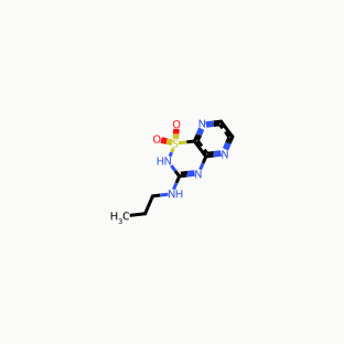 CCCNC1=Nc2nccnc2S(=O)(=O)N1